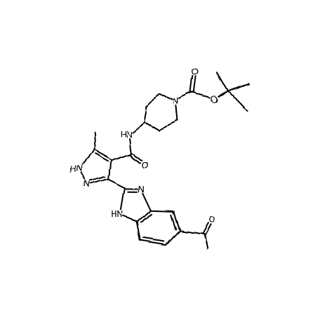 CC(=O)c1ccc2[nH]c(-c3n[nH]c(C)c3C(=O)NC3CCN(C(=O)OC(C)(C)C)CC3)nc2c1